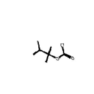 CC(C)C(C)(C)OC(=O)Cl